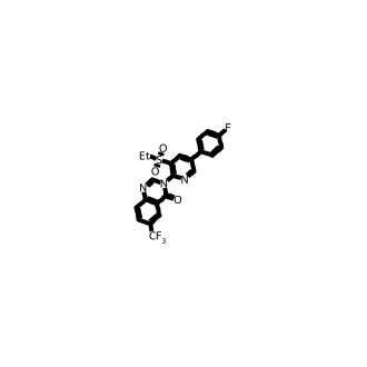 CCS(=O)(=O)c1cc(-c2ccc(F)cc2)cnc1-n1cnc2ccc(C(F)(F)F)cc2c1=O